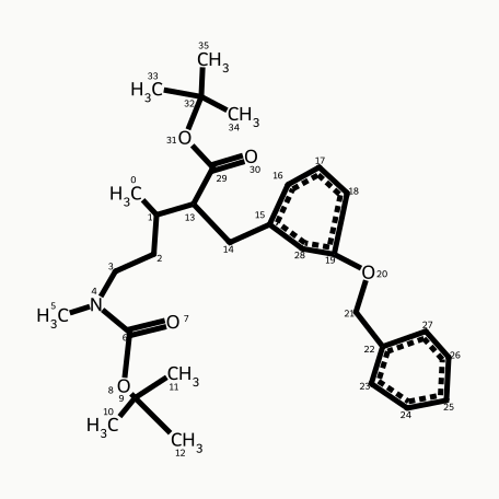 CC(CCN(C)C(=O)OC(C)(C)C)C(Cc1cccc(OCc2ccccc2)c1)C(=O)OC(C)(C)C